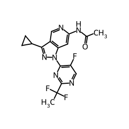 CC(=O)Nc1cc2c(cn1)c(C1CC1)nn2-c1nc(C(C)(F)F)ncc1F